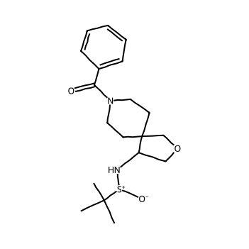 CC(C)(C)[S+]([O-])NC1COCC12CCN(C(=O)c1ccccc1)CC2